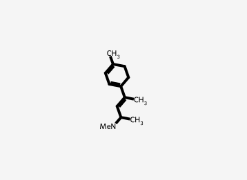 CNC(C)/C=C(\C)C1=CC=C(C)CC1